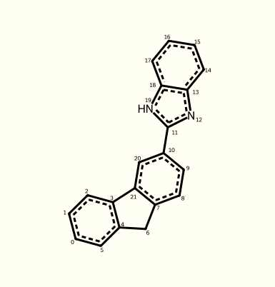 c1ccc2c(c1)Cc1ccc(-c3nc4ccccc4[nH]3)cc1-2